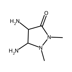 CN1C(=O)C(N)C(N)N1C